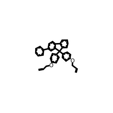 C=CCOc1ccc(C2(c3ccc(OCC=C)cc3)c3ccccc3-c3ccc(-c4ccccc4)cc32)cc1